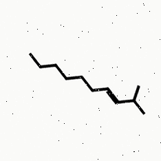 CCCCCC/C=C/C(C)C